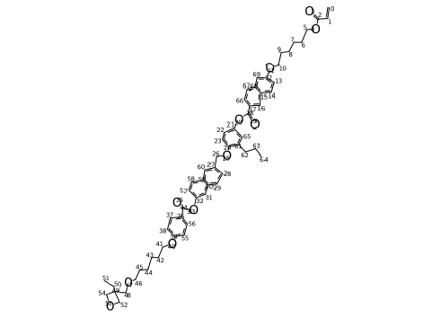 C=CC(=O)OCCCCCCOc1ccc2cc(C(=O)Oc3ccc(OCc4ccc5cc(OC(=O)c6ccc(OCCCCCCOCC7(CC)COC7)cc6)ccc5c4)c(CCC)c3)ccc2c1